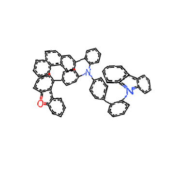 c1ccc(N(c2ccc(-c3ccccc3-n3c4ccccc4c4ccccc43)cc2)c2ccc(-c3cccc4oc5ccccc5c34)cc2)c(-c2ccc3c(ccc4ccccc43)c2)c1